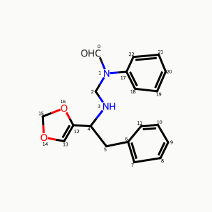 O=CN(CNC(Cc1ccccc1)C1=COCO1)c1ccccc1